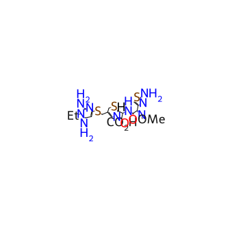 CCN1C(N)=NC(SCC2=C(C(=O)O)N3C(=O)C(NC(=O)/C(=N\OC)c4csc(N)n4)[C@@H]3SC2)=CC1N